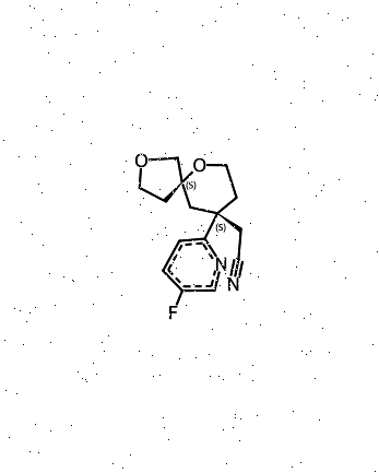 N#CC[C@]1(c2ccc(F)cn2)CCO[C@]2(CCOC2)C1